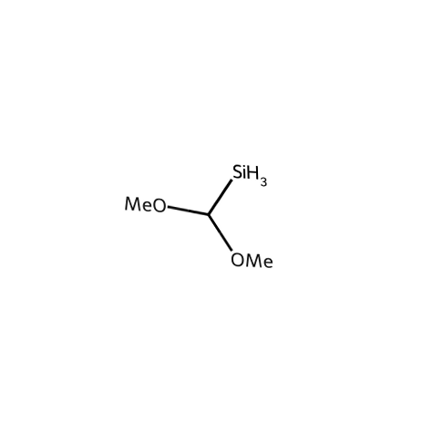 COC([SiH3])OC